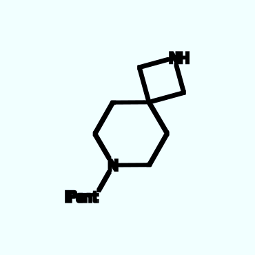 CCCC(C)N1CCC2(CC1)CNC2